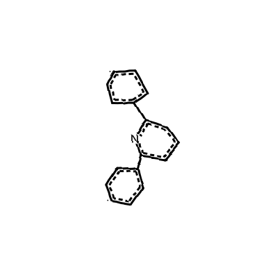 [c]1ccc(-c2cccc(-c3cc[c]cc3)n2)cc1